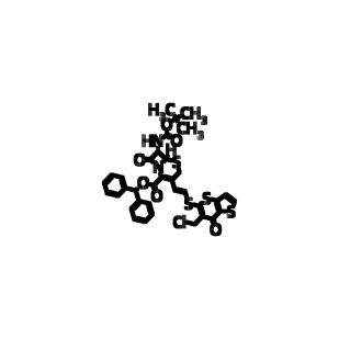 CC(C)(C)OC(=O)N[C@@H]1C(=O)N2C(C(=O)OC(c3ccccc3)c3ccccc3)=C(C=CSc3sc4ccsc4c(=O)c3CCl)CS[C@@H]12